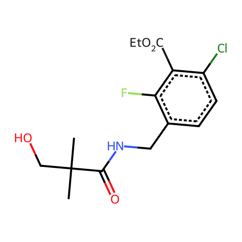 CCOC(=O)c1c(Cl)ccc(CNC(=O)C(C)(C)CO)c1F